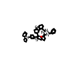 c1ccc(-c2nc(-c3ccccc3)nc(-c3cccc4oc5ccc(-c6cccc7sc8cc(-n9c%10ccccc%10c%10ccccc%109)ccc8c67)cc5c34)n2)cc1